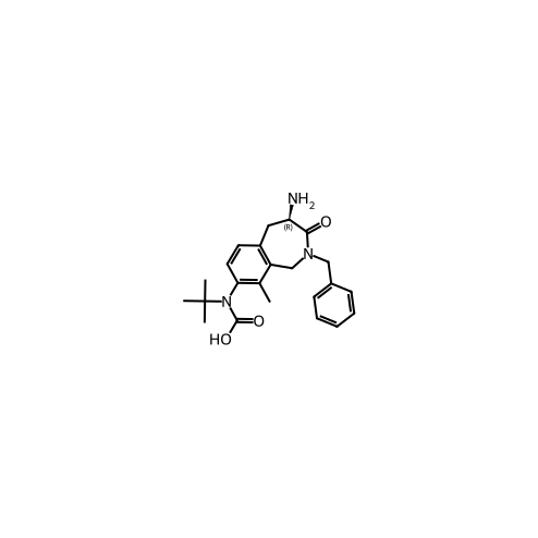 Cc1c(N(C(=O)O)C(C)(C)C)ccc2c1CN(Cc1ccccc1)C(=O)[C@H](N)C2